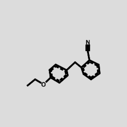 CCOc1ccc(Cc2ccccc2C#N)cc1